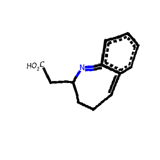 O=C(O)CC1CCC=c2ccccc2=N1